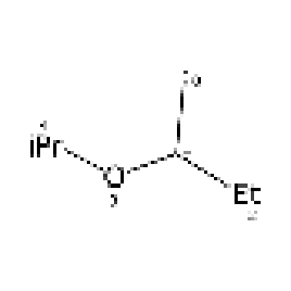 [CH2]C(CC)OC(C)C